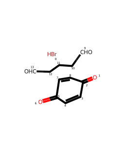 Br.O=C1C=CC(=O)C=C1.O=CCCCC=O